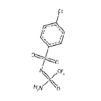 CCc1ccc(S(=O)(=O)N=S(N)(=O)C(F)(F)F)cc1